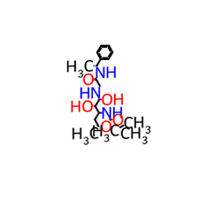 CCCC(NC(=O)OC(C)(C)C)C(O)[C@H](O)NCC(=O)N[C@H](C)c1ccccc1